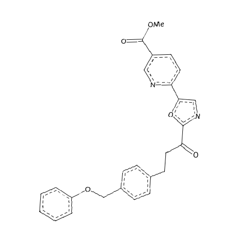 COC(=O)c1ccc(-c2cnc(C(=O)CCc3ccc(COc4ccccc4)cc3)o2)nc1